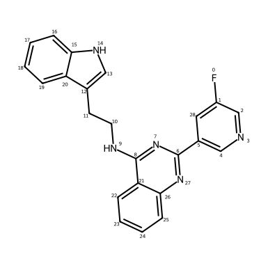 Fc1cncc(-c2nc(NCCc3c[nH]c4ccccc34)c3ccccc3n2)c1